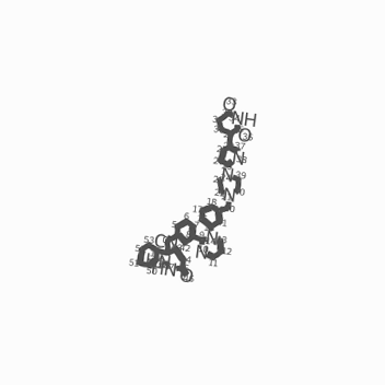 N#CC1(C2(Cc3cccc(C4N=CC=CN4c4cccc(CN5CCN(c6ccc(C7CCC(=O)NC7=O)cn6)CC5)c4)c3)C=CC(=O)NN2)C=CC=CC1